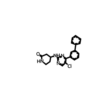 O=C1CC(Nc2ncc(Cl)c(-c3cccc(-c4ccccc4)c3)n2)CCN1